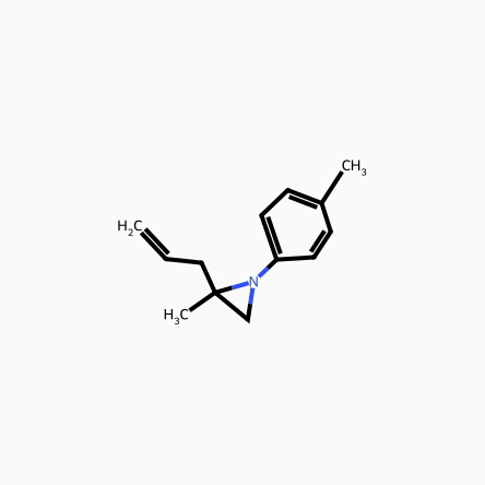 C=CCC1(C)CN1c1ccc(C)cc1